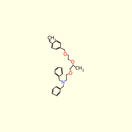 C=Cc1ccc(COCCOC(C)COCCN(Cc2ccccc2)Cc2ccccc2)cc1